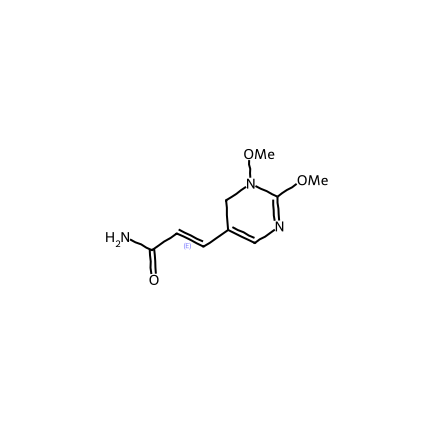 COC1=NC=C(/C=C/C(N)=O)CN1OC